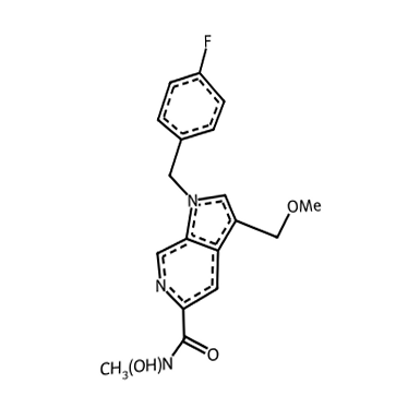 COCc1cn(Cc2ccc(F)cc2)c2cnc(C(=O)N(C)O)cc12